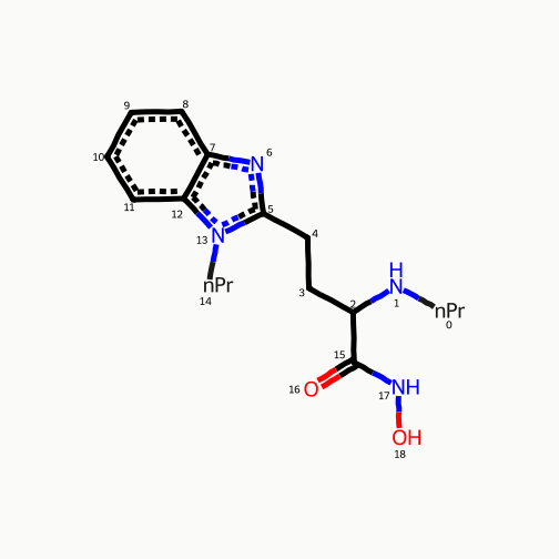 CCCNC(CCc1nc2ccccc2n1CCC)C(=O)NO